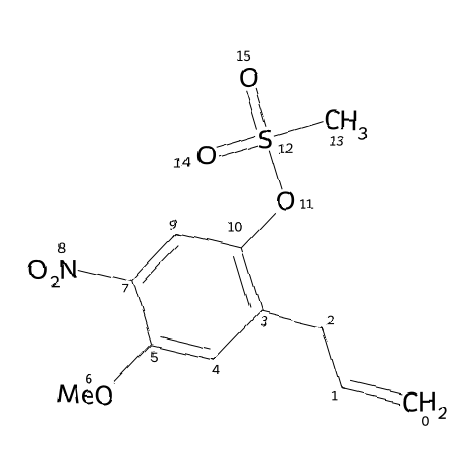 C=CCc1cc(OC)c([N+](=O)[O-])cc1OS(C)(=O)=O